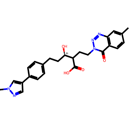 Cc1ccc2c(=O)n(CCC(C(=O)O)[C@H](O)CCc3ccc(-c4cnn(C)c4)cc3)nnc2c1